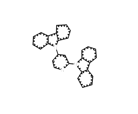 c1ccc2c(c1)c1ccccc1n2-c1ccnc(-n2c3ccccc3c3ccccc32)c1